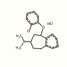 CN(C)C1CCc2ccccc2C(Oc2ccccc2Cl)C1.Cl